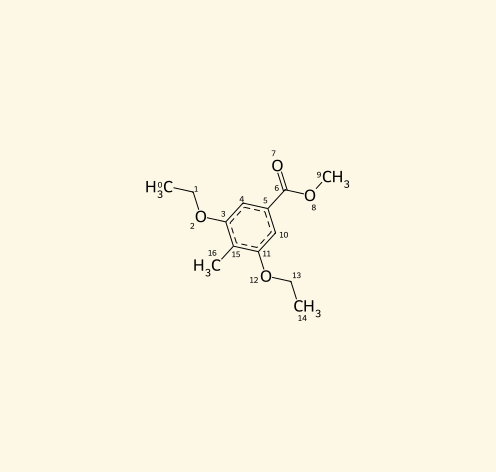 CCOc1cc(C(=O)OC)cc(OCC)c1C